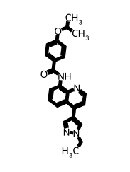 CCn1cc(-c2ccnc3c(NC(=O)c4ccc(OC(C)C)cc4)cccc23)cn1